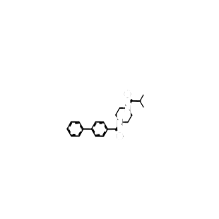 CC(C)C(=O)N1CCN(C(=O)c2ccc(-c3ccccc3)cc2)CC1